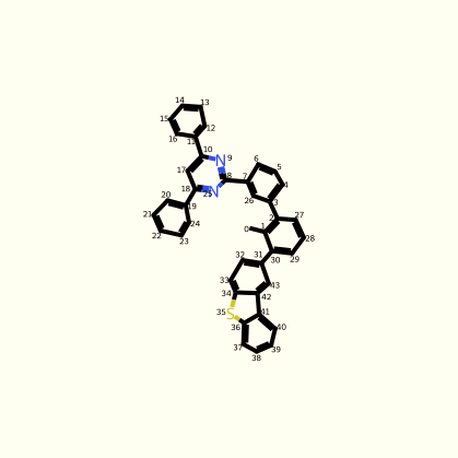 Cc1c(-c2cccc(-c3nc(-c4ccccc4)cc(-c4ccccc4)n3)c2)cccc1-c1ccc2sc3ccccc3c2c1